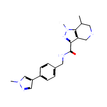 CC1CNCc2c(C(=O)NCc3ccc(-c4cnn(C)c4)cc3)nn(C(C)C)c21